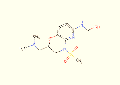 CN(C)C[C@H]1CN(S(C)(=O)=O)c2nc(NCO)ccc2O1